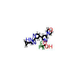 O=C(O)C(F)(F)F.c1cc(-c2cncc(N3CCOCC3)c2)cc(-c2ncc(C3CC3)[nH]2)n1